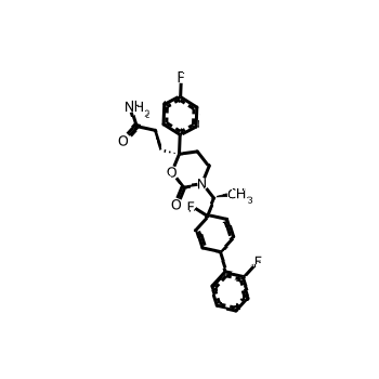 C[C@H](N1CC[C@](CCC(N)=O)(c2ccc(F)cc2)OC1=O)C1(F)C=CC(c2ccccc2F)C=C1